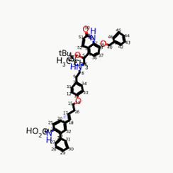 CC(C)(C)[Si](C)(C)OC(CNCCc1ccc(OCC/C=C/c2ccc(NC(=O)O)c(-c3ccccc3)c2)cc1)c1ccc(OCc2ccccc2)c2[nH]c(=O)ccc12